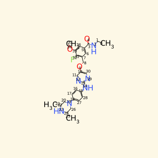 CCNC(=O)c1cc(COc2cnc(Nc3ccc(N4C[C@@H](C)N[C@@H](C)C4)cc3)nc2)c(F)c(OC)c1